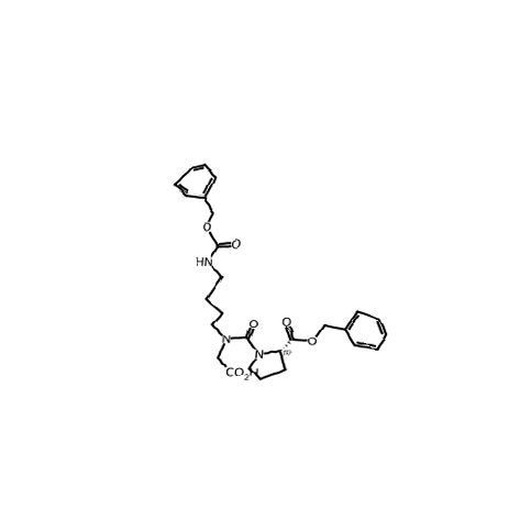 O=C(O)CN(CCCCNC(=O)OCc1ccccc1)C(=O)N1CCC[C@H]1C(=O)OCc1ccccc1